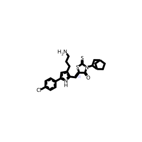 NCCCc1cc(-c2ccc(Cl)cc2)[nH]c1/C=C1\SC(=S)N(C2CC3CCC2C3)C1=O